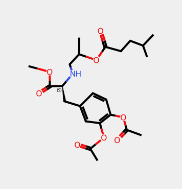 COC(=O)[C@H](Cc1ccc(OC(C)=O)c(OC(C)=O)c1)NCC(C)OC(=O)CCC(C)C